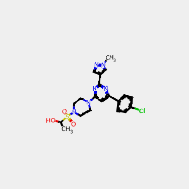 CC(O)S(=O)(=O)N1CCN(c2cc(-c3ccc(Cl)cc3)nc(-c3cnn(C)c3)n2)CC1